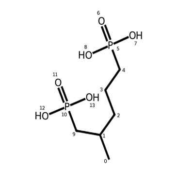 CC(CCCP(=O)(O)O)CP(=O)(O)O